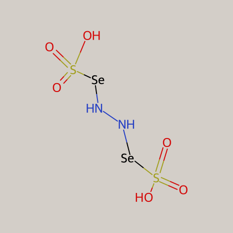 O=S(=O)(O)[Se]NN[Se]S(=O)(=O)O